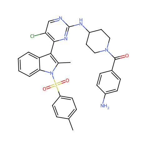 Cc1ccc(S(=O)(=O)n2c(C)c(-c3nc(NC4CCN(C(=O)c5ccc(N)cc5)CC4)ncc3Cl)c3ccccc32)cc1